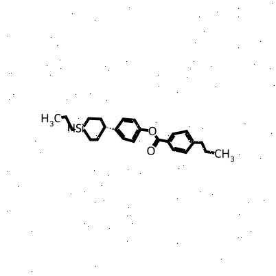 CCCc1ccc(C(=O)Oc2ccc([C@H]3CC[Si@H](CCC)CC3)cc2)cc1